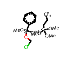 CO[Si](CCC(F)(F)F)(OC)OC.CO[Si](OC)(OCCl)c1ccccc1